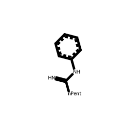 CCCCCC(=N)Nc1ccccc1